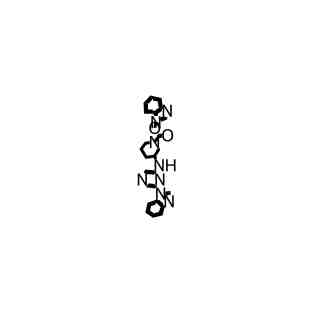 O=C(On1cnc2ccccc21)N1CCCC(Nc2cncc(-n3cnc4ccccc43)n2)C1